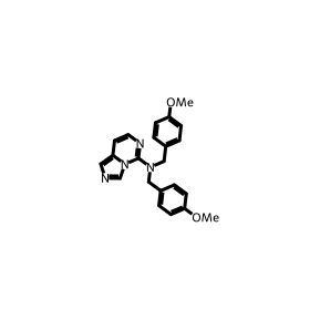 COc1ccc(CN(Cc2ccc(OC)cc2)c2nccc3cncn23)cc1